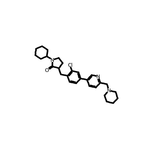 O=C1C(Cc2ccc(-c3ccc(CN4CCCCC4)nc3)cc2Cl)CCN1C1CCCCC1